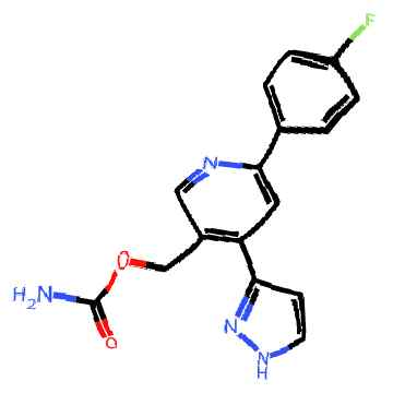 NC(=O)OCc1cnc(-c2ccc(F)cc2)cc1-c1cc[nH]n1